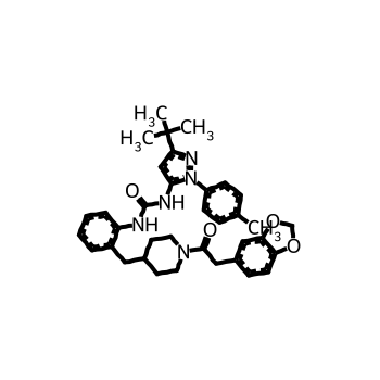 Cc1ccc(-n2nc(C(C)(C)C)cc2NC(=O)Nc2ccccc2CC2CCN(C(=O)Cc3ccc4c(c3)OCO4)CC2)cc1